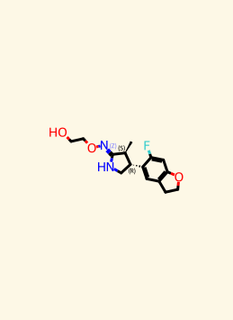 C[C@@H]1/C(=N/OCCO)NC[C@H]1c1cc2c(cc1F)OCC2